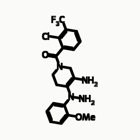 COc1ccccc1N(N)C1=C(N)CN(C(=O)c2cccc(C(F)(F)F)c2Cl)CC1